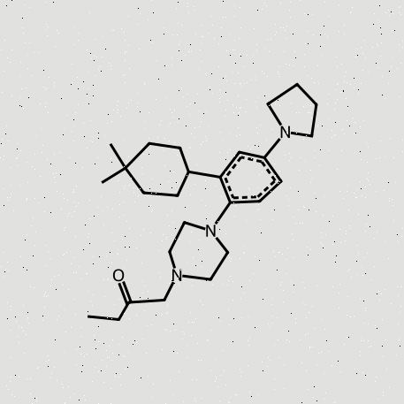 CCC(=O)CN1CCN(c2ccc(N3CCCC3)cc2C2CCC(C)(C)CC2)CC1